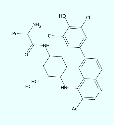 CC(=O)c1cnc2ccc(-c3cc(Cl)c(O)c(Cl)c3)cc2c1NC1CCC(NC(=O)C(N)C(C)C)CC1.Cl.Cl